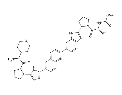 COC(=O)N[C@H](C(=O)N1CCC[C@H]1c1nc2ccc(-c3ccc4cc(-c5cnc([C@@H]6CCCN6C(=O)[C@@H](N)C6CCOCC6)[nH]5)ccc4n3)cc2[nH]1)C(C)C